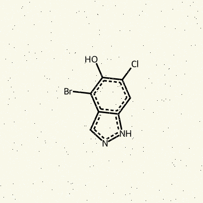 Oc1c(Cl)cc2[nH]ncc2c1Br